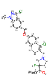 COC(=O)C1(F)CCN(CC2=C(Cl)c3ccc(OCc4ccc5c(c4)c(Cl)nn5C(C)C)cc3CC2)C1